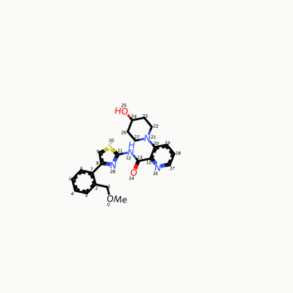 COCc1ccccc1-c1csc(NC(=O)c2ncccc2N2CCC(O)CC2)n1